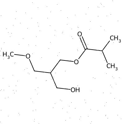 COCC(CO)COC(=O)C(C)C